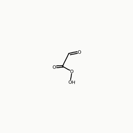 O=CC(=O)OO